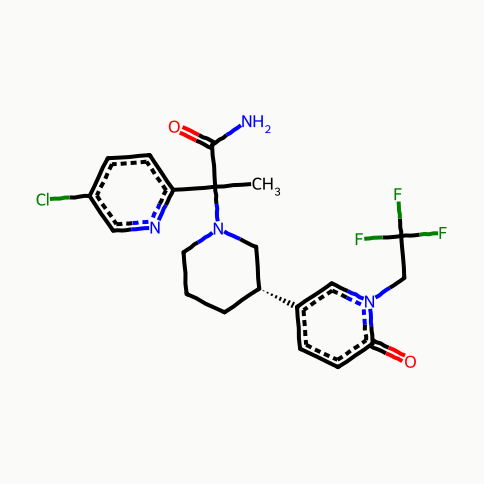 CC(C(N)=O)(c1ccc(Cl)cn1)N1CCC[C@@H](c2ccc(=O)n(CC(F)(F)F)c2)C1